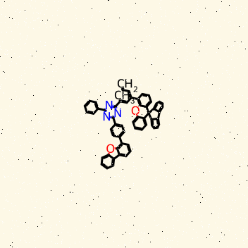 C=C/C=C(\C=C(/C)c1nc(-c2ccccc2)nc(-c2ccc(-c3cccc4c3oc3ccccc34)cc2)n1)c1cccc2c1Oc1ccccc1C21c2ccccc2-c2ccccc21